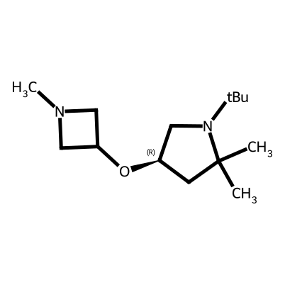 CN1CC(O[C@H]2CN(C(C)(C)C)C(C)(C)C2)C1